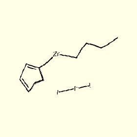 CCC[CH2][Zr][C]1=CC=CC1.I[I-]I